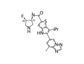 Cc1cc(-c2[nH]c3cc(C(=O)N(C)[C@H]4CNC[C@H]4F)sc3c2C(C)C)cn2ncnc12